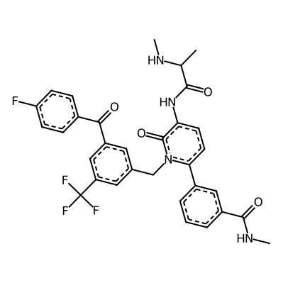 CNC(=O)c1cccc(-c2ccc(NC(=O)C(C)NC)c(=O)n2Cc2cc(C(=O)c3ccc(F)cc3)cc(C(F)(F)F)c2)c1